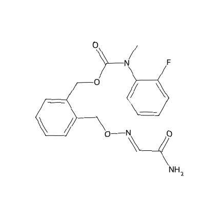 CN(C(=O)OCc1ccccc1CO/N=C/C(N)=O)c1ccccc1F